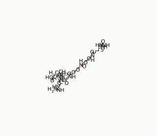 CN[C@@H](C)C(=O)N[C@@H](CCC(=O)O)C(=O)N[C@@H](CCCNC(=N)N)C(=O)NCCNC(=O)COCCOCCNC(=O)COCCOCCNC(=O)CCCC[C@@H]1SC[C@@H]2NC(=O)N[C@@H]21